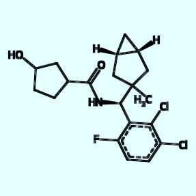 CC1([C@H](NC(=O)C2CCC(O)C2)c2c(F)ccc(Cl)c2Cl)C[C@H]2C[C@H]2C1